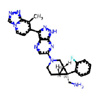 Cc1c(-c2n[nH]c3nc(N4CC[C@@H]5[C@H](C4)[C@@]5(CN)c4ccccc4F)cnc23)ccn2cnnc12